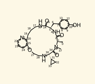 C[C@@H]1C(=O)N[C@H](Cc2ccc(O)cc2)C(=O)NCCCc2ncccc2OCCN[C@@H](C2CC2)C(=O)N1C